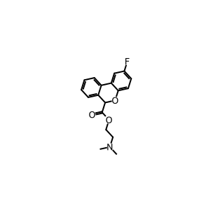 CN(C)CCOC(=O)C1Oc2ccc(F)cc2-c2ccccc21